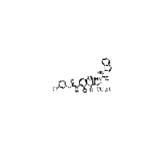 CCOC(=O)C(CNC(=O)NC1C=Cc2ccccc21)NC(=O)c1c(Cl)ccc(NC(=O)Cc2cccc(Cl)c2)c1Cl